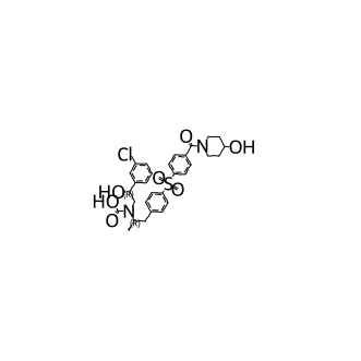 C[C@H](Cc1ccc(S(=O)(=O)c2ccc(C(=O)N3CCC(O)CC3)cc2)cc1)N(C[C@H](O)c1cccc(Cl)c1)C(=O)O